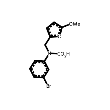 COc1ccc(CN(C(=O)O)c2cccc(Br)c2)o1